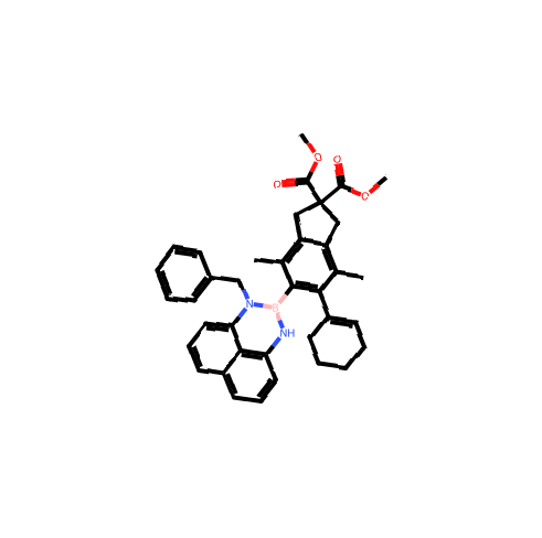 COC(=O)C1(C(=O)OC)Cc2c(C)c(B3Nc4cccc5cccc(c45)N3Cc3ccccc3)c(C3=CCCCC3)c(C)c2C1